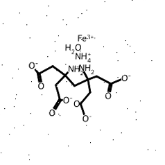 NC(CC(=O)[O-])(CC(=O)[O-])CC(N)(CC(=O)[O-])CC(=O)[O-].O.[Fe+3].[NH4+]